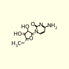 CC[C@H]1O[C@@H](n2ccc(N)nc2=O)C(O)[C@H]1O